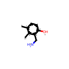 Cc1ccc(O)c(CN)c1C